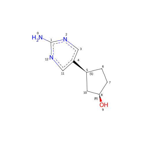 Nc1ncc([C@H]2CC[C@@H](O)C2)cn1